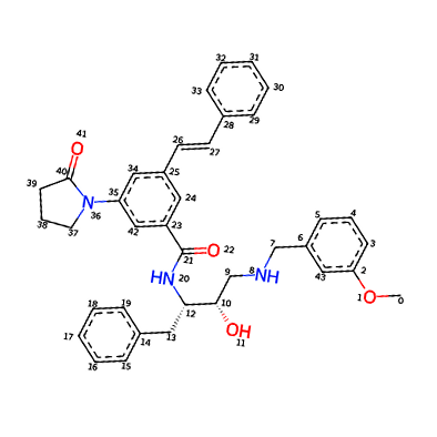 COc1cccc(CNC[C@H](O)[C@H](Cc2ccccc2)NC(=O)c2cc(C=Cc3ccccc3)cc(N3CCCC3=O)c2)c1